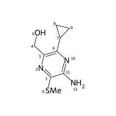 CSc1nc(CO)c(C2CC2)nc1N